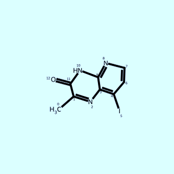 Cc1nc2c(I)ccnc2[nH]c1=O